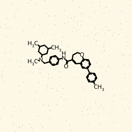 Cc1ccc(-c2ccc3c(c2)C=C(C(=O)Nc2ccc(CN(C)C4CC(C)CC(C)C4)cc2)CCO3)cc1